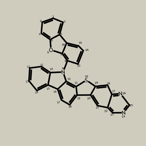 c1ccc2c(c1)oc1c(-n3c4ccccc4c4ccc5c6cc7cncnc7cc6sc5c43)cccc12